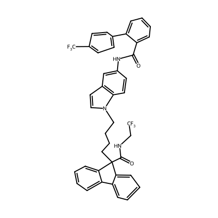 O=C(Nc1ccc2c(ccn2CCCCC2(C(=O)NCC(F)(F)F)c3ccccc3-c3ccccc32)c1)c1ccccc1-c1ccc(C(F)(F)F)cc1